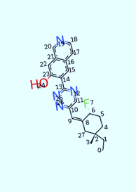 CC[C@@]1(C)CC[C@@H](F)/C(=C\c2cnc(-c3cc4ccncc4cc3O)nn2)C1